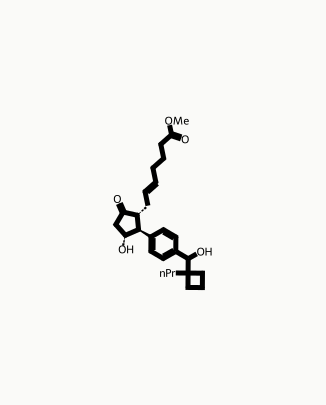 CCCC1(C(O)c2ccc([C@H]3[C@H](O)CC(=O)[C@@H]3CC=CCCCC(=O)OC)cc2)CCC1